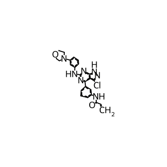 C=CC(=O)Nc1cccc(-c2nc(Nc3cccc(N4CCOCC4)c3)nc3[nH]nc(Cl)c23)c1